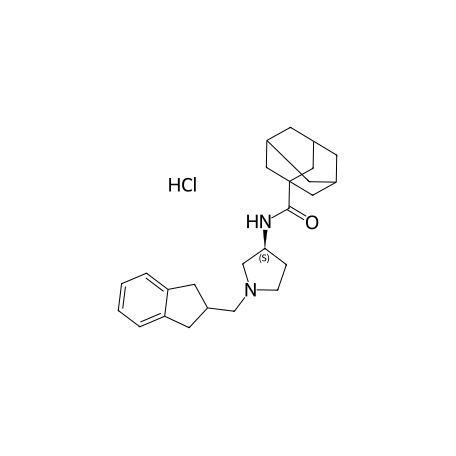 Cl.O=C(N[C@H]1CCN(CC2Cc3ccccc3C2)C1)C12CC3CC(CC(C3)C1)C2